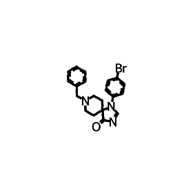 O=C1N=CN(c2ccc(Br)cc2)C12CCN(Cc1ccccc1)CC2